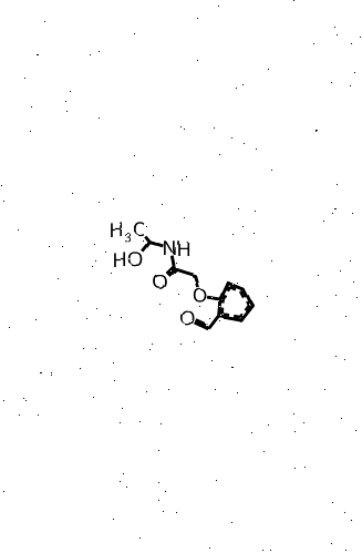 CC(O)NC(=O)COc1ccccc1C=O